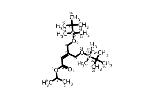 CC(C)OC(=O)C=C(CO[Si](C)(C)C(C)(C)C)CO[Si](C)(C)C(C)(C)C